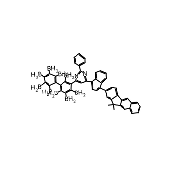 Bc1c(B)c(B)c(-c2c(B)c(B)c(B)c(-c3cc(-c4ccc(-c5ccc6c(c5)C(C)(C)c5cc7ccccc7cc5-6)c5ccccc45)nc(-c4ccccc4)n3)c2B)c(B)c1B